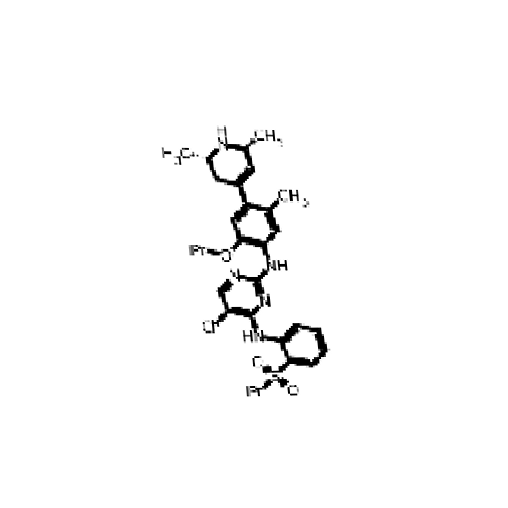 Cc1cc(Nc2ncc(Cl)c(Nc3ccccc3S(=O)(=O)C(C)C)n2)c(OC(C)C)cc1C1=C[C@H](C)N[C@@H](C)C1